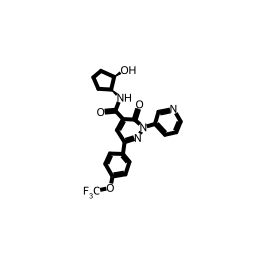 O=C(N[C@H]1CCC[C@H]1O)c1cc(-c2ccc(OC(F)(F)F)cc2)nn(-c2cccnc2)c1=O